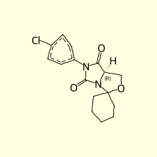 O=C1[C@H]2COC3(CCCCC3)N2C(=O)N1c1ccc(Cl)cc1